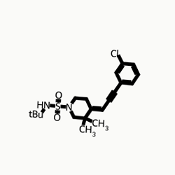 CC(C)(C)NS(=O)(=O)N1CC/C(=C\C#Cc2cccc(Cl)c2)C(C)(C)C1